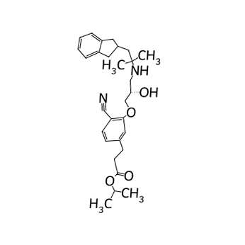 CC(C)OC(=O)CCc1ccc(C#N)c(OC[C@@H](O)CNC(C)(C)CC2Cc3ccccc3C2)c1